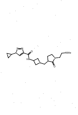 CNCCN1CCC(CN2CC(NC(=O)c3cn(C4CC4)nn3)C2)C1=O